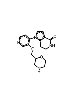 O=C1NCCc2c1ccn2-c1ccncc1OC[C@@H]1CNCCO1